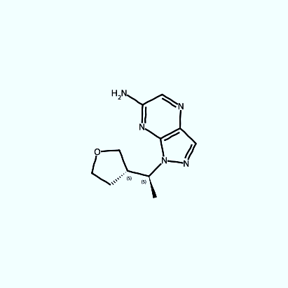 C[C@@H]([C@@H]1CCOC1)n1ncc2ncc(N)nc21